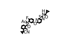 CC(=O)N(C(=O)c1cccc(C2(C#N)CC2)c1C)c1cc(Oc2ccc3nc(NC(=O)C4CC4)sc3n2)ccc1F